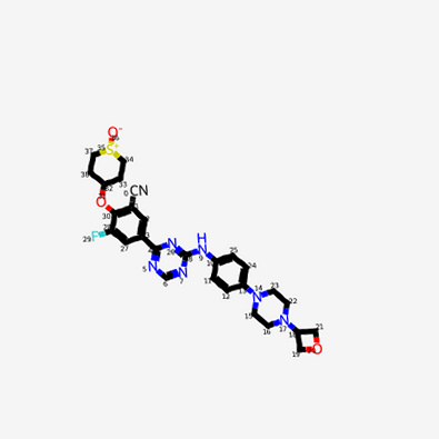 N#Cc1cc(-c2ncnc(Nc3ccc(N4CCN(C5COC5)CC4)cc3)n2)cc(F)c1OC1CC[S+]([O-])CC1